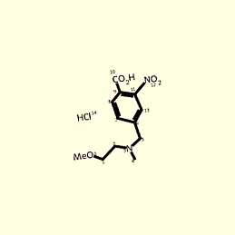 COCCN(C)Cc1ccc(C(=O)O)c([N+](=O)[O-])c1.Cl